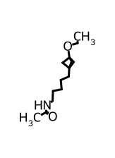 CCOC12CC(CCCCCNC(C)=O)(C1)C2